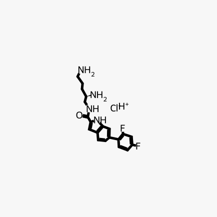 NCCC[C@H](N)CNC(=O)c1cc2ccc(-c3ccc(F)cc3F)cc2[nH]1.[Cl-].[H+]